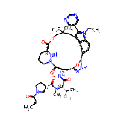 C=CC(=O)N1CC[C@H](C(=O)N(C)[C@H](C(=O)N[C@H]2CC3=NNC(O3)c3ccc4c(c3)c(c(-c3cncnc3)n4CC)CC(C)(C)COC(=O)[C@@H]3CCCN(N3)C2=O)C(C)C)C1